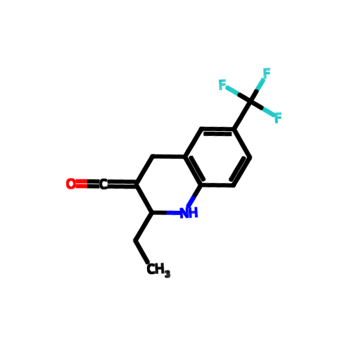 CCC1Nc2ccc(C(F)(F)F)cc2CC1=C=O